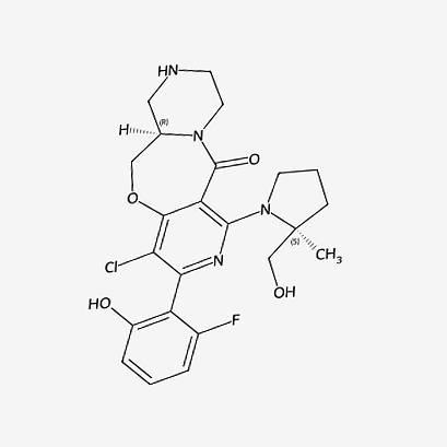 C[C@@]1(CO)CCCN1c1nc(-c2c(O)cccc2F)c(Cl)c2c1C(=O)N1CCNC[C@@H]1CO2